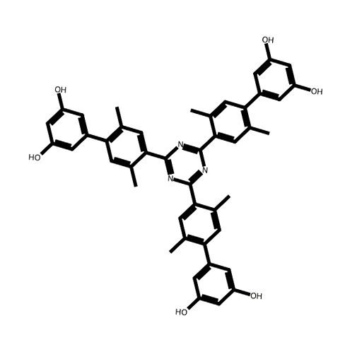 Cc1cc(-c2nc(-c3cc(C)c(-c4cc(O)cc(O)c4)cc3C)nc(-c3cc(C)c(-c4cc(O)cc(O)c4)cc3C)n2)c(C)cc1-c1cc(O)cc(O)c1